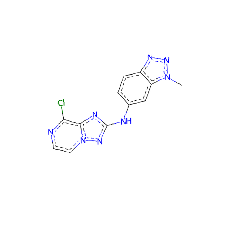 Cn1nnc2ccc(Nc3nc4c(Cl)nccn4n3)cc21